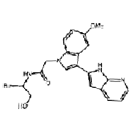 CCC(C)C(CO)NC(=O)Cn1cc(-c2cc3cccnc3[nH]2)c2cc(OC)ccc21